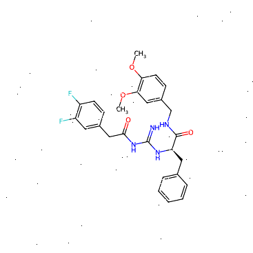 COc1ccc(CNC(=O)[C@@H](Cc2ccccc2)NC(=N)NC(=O)Cc2ccc(F)c(F)c2)cc1OC